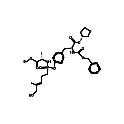 C/C(=C\CCP(=O)(N[C@@H](C)C(=O)OC(C)C)Oc1ccc(C[C@H](NC(=O)OCc2ccccc2)C(=O)O[C@@H]2CCOC2)cc1)CO